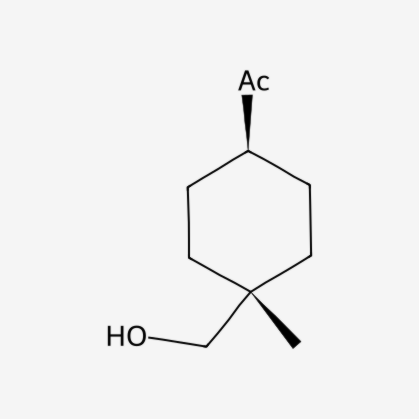 CC(=O)[C@H]1CC[C@](C)(CO)CC1